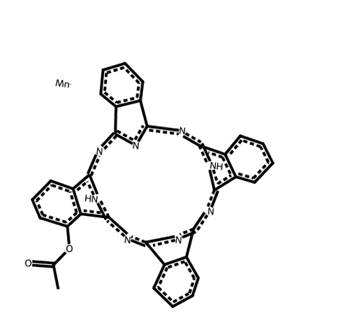 CC(=O)Oc1cccc2c3nc4nc(nc5[nH]c(nc6nc(nc([nH]3)c12)-c1ccccc1-6)c1ccccc51)-c1ccccc1-4.[Mn]